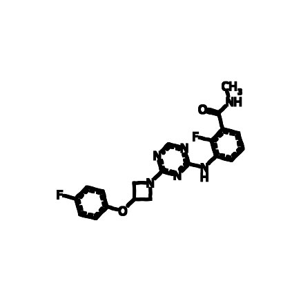 CNC(=O)c1cccc(Nc2ncnc(N3CC(Oc4ccc(F)cc4)C3)n2)c1F